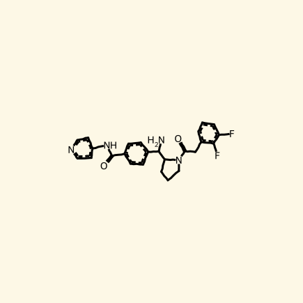 NC(c1ccc(C(=O)Nc2ccncc2)cc1)C1CCCN1C(=O)Cc1cccc(F)c1F